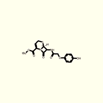 CC(C)(C)OC(=O)C1=CCS[C@H]2C(NC(=O)COc3ccc(O)cc3)C(=O)N12